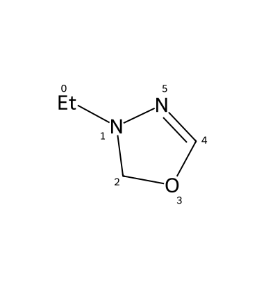 CCN1COC=N1